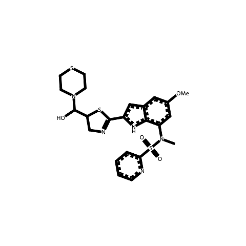 COc1cc(N(C)S(=O)(=O)c2ccccn2)c2[nH]c(C3=NCC(C(O)N4CCSCC4)S3)cc2c1